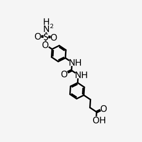 NS(=O)(=O)Oc1ccc(NC(=O)Nc2cccc(CCC(=O)O)c2)cc1